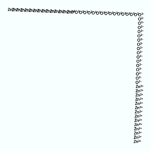 [O-2].[O-2].[O-2].[O-2].[O-2].[O-2].[O-2].[O-2].[O-2].[O-2].[O-2].[O-2].[O-2].[O-2].[O-2].[O-2].[O-2].[O-2].[O-2].[O-2].[O-2].[O-2].[O-2].[O-2].[O-2].[O-2].[O-2].[O-2].[O-2].[O-2].[O-2].[O-2].[O-2].[Zn+2].[Zn+2].[Zn+2].[Zn+2].[Zn+2].[Zn+2].[Zn+2].[Zn+2].[Zn+2].[Zn+2].[Zn+2].[Zn+2].[Zn+2].[Zn+2].[Zn+2].[Zn+2].[Zn+2].[Zn+2].[Zn+2].[Zn+2].[Zn+2].[Zn+2].[Zn+2].[Zn+2].[Zn+2].[Zn+2].[Zn+2].[Zn+2].[Zn+2]